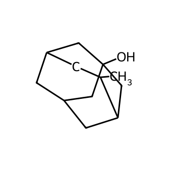 CC1CC2CC3CC1CC(O)(C2)C3